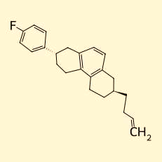 C=CCC[C@H]1CCc2c(ccc3c2CC[C@H](c2ccc(F)cc2)C3)C1